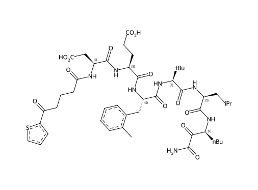 CCCC[C@H](NC(=O)[C@H](CC(C)C)NC(=O)[C@@H](NC(=O)[C@H](Cc1ccccc1C)NC(=O)[C@H](CCC(=O)O)NC(=O)[C@H](CC(=O)O)NC(=O)CCCC(=O)c1cccs1)C(C)(C)C)C(=O)C(N)=O